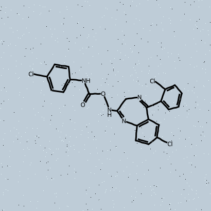 O=C(Nc1ccc(Cl)cc1)ONC1=Nc2ccc(Cl)cc2C(c2ccccc2Cl)=NC1